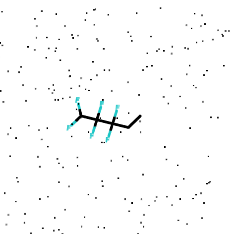 CCC(F)(F)C(F)(F)[C](F)F